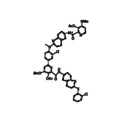 COc1ccnc(C(=O)Nc2ccc3nc(N(C)c4ccc(-c5cc(OC)c(OC(C)=O)c(C(=O)Nc6ccc7nc(Sc8ccccc8Cl)ccc7c6)n5)cc4Cl)ccc3c2)c1OC(C)=O